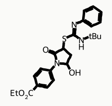 CCOC(=O)c1ccc(N2C(=O)C(S/C(=N/c3ccccc3)NC(C)(C)C)CC2O)cc1